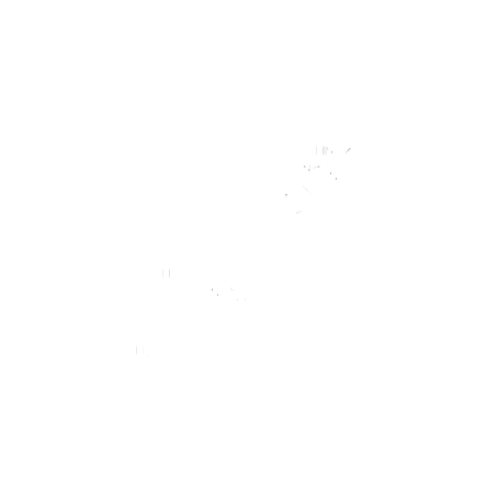 CCCCCCN(CCO)C(=O)CCCCCOc1ccc2c(c1)CN1CC(=O)NC1=N2